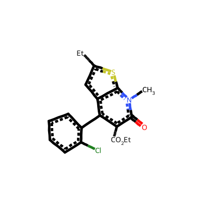 CCOC(=O)c1c(-c2ccccc2Cl)c2cc(CC)sc2n(C)c1=O